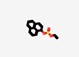 C=COS(=O)OC1C=Cc2cccc3cccc1c23